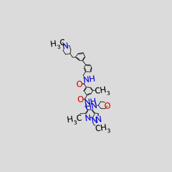 CCc1nc2c(cnn2CC)c(NC2CCOCC2)c1CNC(=O)c1cc(C)cc(C(=O)NCc2cccc(-c3cccc(CC4CCN(C)CC4)c3)c2)c1